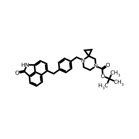 CC(C)(C)OC(=O)N1CCN(Cc2ccc(Cc3ccc4c5c(cccc35)C(=O)N4)cc2)C2(CC2)C1